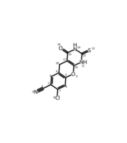 N#Cc1cc2c(cc1Cl)Oc1[nH]c(=S)[nH]c(=O)c1C2